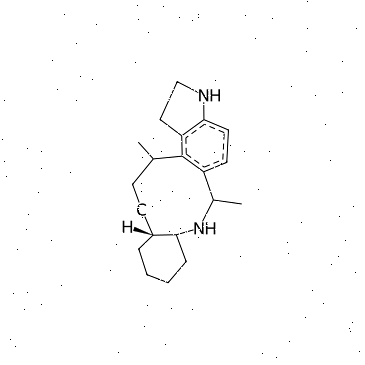 CC1CC[C@H]2CCCCC2NC(C)c2ccc3c(c21)CCN3